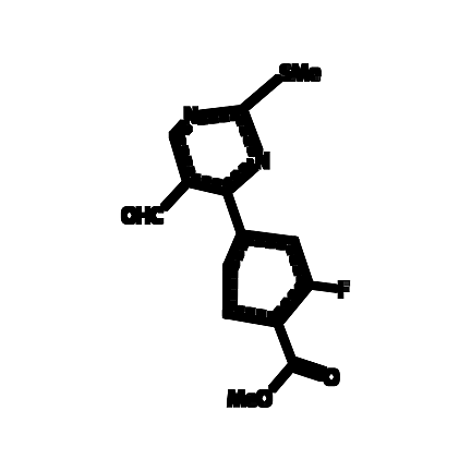 COC(=O)c1ccc(-c2nc(SC)ncc2C=O)cc1F